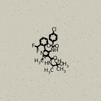 C[C@H](NC(=O)c1c(NS(=O)(=O)c2ccc(Cl)cc2)c(-c2ccccc2C(F)F)nn1C)C(C)(C)C